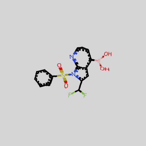 O=S(=O)(c1ccccc1)n1c(C(F)F)cc2c(B(O)O)ccnc21